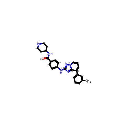 Cc1cccc(-c2cccn3nc(Nc4ccc(C(=O)NC5CCNCC5)cc4)nc23)c1